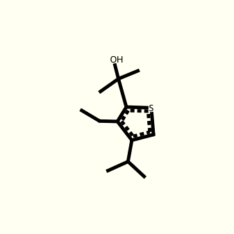 CCc1c(C(C)C)csc1C(C)(C)O